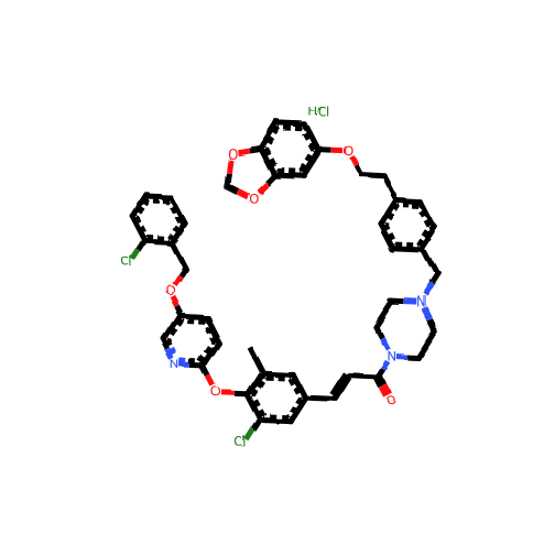 Cc1cc(C=CC(=O)N2CCN(Cc3ccc(CCOc4ccc5c(c4)OCO5)cc3)CC2)cc(Cl)c1Oc1ccc(OCc2ccccc2Cl)cn1.Cl